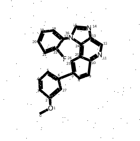 COc1cccc(-c2ccc3ncc4ncn(-c5ccccc5F)c4c3c2)c1